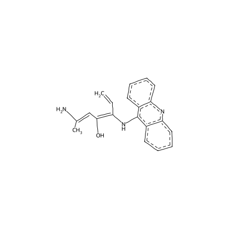 C=C/C(Nc1c2ccccc2nc2ccccc12)=C(O)\C=C(/C)N